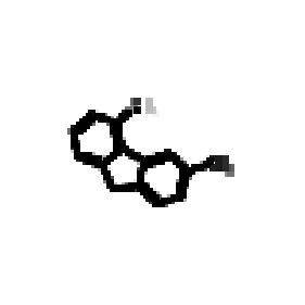 Cc1ccc2c(c1)-c1c(C)cccc1C2